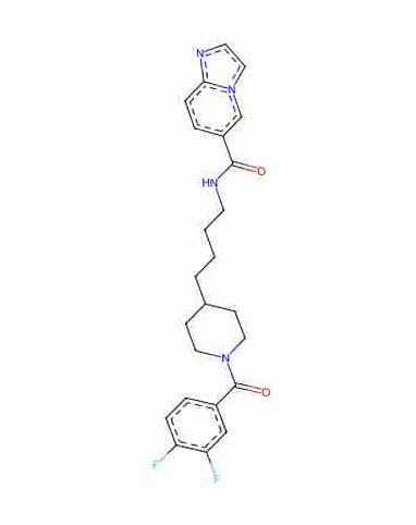 O=C(NCCCCC1CCN(C(=O)c2ccc(F)c(F)c2)CC1)c1ccc2nccn2c1